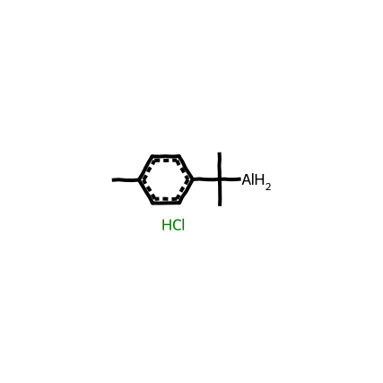 Cc1ccc([C](C)(C)[AlH2])cc1.Cl